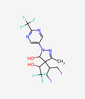 CC1=NN(c2cnc(C(F)(F)F)nc2)C(O)C1(C(CI)CI)C(O)C(F)(F)F